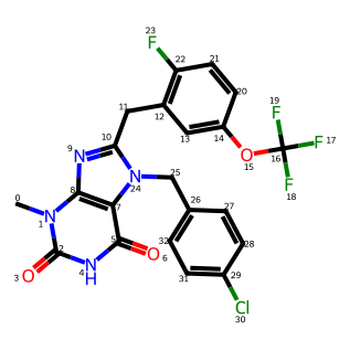 Cn1c(=O)[nH]c(=O)c2c1nc(Cc1cc(OC(F)(F)F)ccc1F)n2Cc1ccc(Cl)cc1